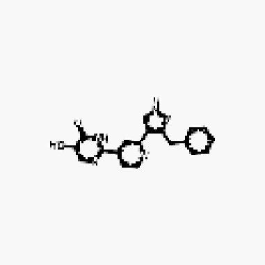 O=c1[nH]c(-c2ccnc(-c3c[nH]nc3Cc3ccccc3)c2)ncc1O